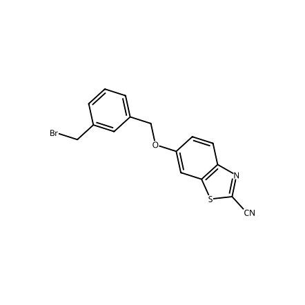 N#Cc1nc2ccc(OCc3cccc(CBr)c3)cc2s1